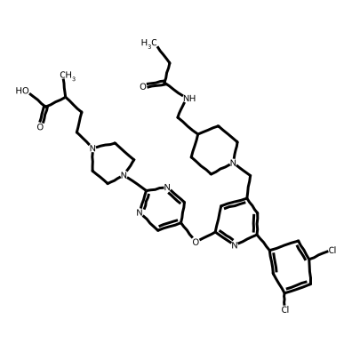 CCC(=O)NCC1CCN(Cc2cc(Oc3cnc(N4CCN(CCC(C)C(=O)O)CC4)nc3)nc(-c3cc(Cl)cc(Cl)c3)c2)CC1